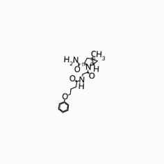 C[C@@]12C[C@@H]1N(C(=O)CNC(=O)CCCOc1ccccc1)[C@H](C(N)=O)C2